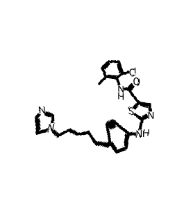 Cc1cccc(Cl)c1NC(=O)c1cnc(Nc2ccc(CCCCCn3ccnc3)cc2)s1